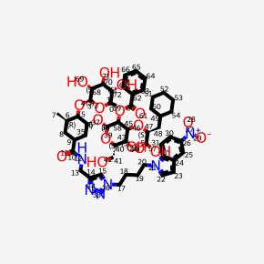 CC1O[C@@H](OC2[C@H](C)CC(C(=O)NCc3cn(CCCCn4ccc5cc([N+](=O)[O-])ccc54)nn3)C[C@H]2O[C@@H]2O[C@@H](CO)[C@H](O)C(O[C@@H](CC3CCCCC3)C(=O)O)C2OC(=O)c2ccccc2)[C@@H](O)C(O)[C@@H]1O